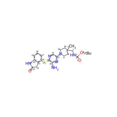 CC1(CNC(=O)OC(C)(C)C)CCN(c2cnc(Sc3cccc4c3CC(=O)N4)c(N)n2)CC1